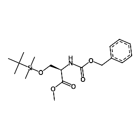 COC(=O)[C@@H](CO[Si](C)(C)C(C)(C)C)NC(=O)OCc1ccccc1